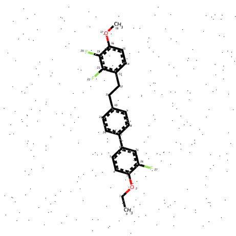 CCOc1ccc(-c2ccc(CCc3ccc(OC)c(F)c3F)cc2)cc1F